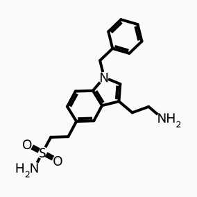 NCCc1cn(Cc2ccccc2)c2ccc(CCS(N)(=O)=O)cc12